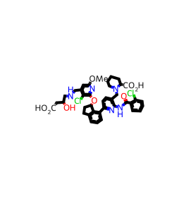 COc1cc(CNCC(O)CC(=O)O)c(Cl)c(OC2CCc3cccc(-c4ccc(CN5CCCCC5C(=O)O)c(NC(=O)c5ccccc5Cl)n4)c32)n1